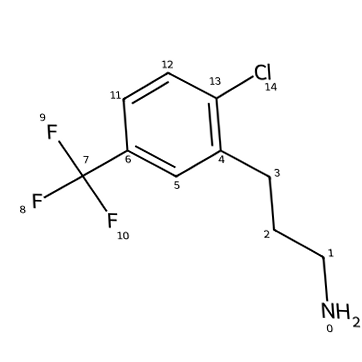 NCCCc1cc(C(F)(F)F)ccc1Cl